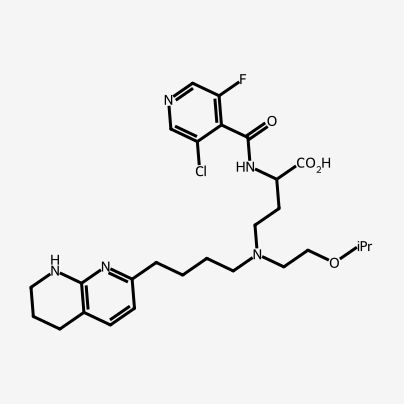 CC(C)OCCN(CCCCc1ccc2c(n1)NCCC2)CCC(NC(=O)c1c(F)cncc1Cl)C(=O)O